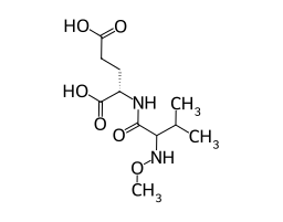 CONC(C(=O)N[C@@H](CCC(=O)O)C(=O)O)C(C)C